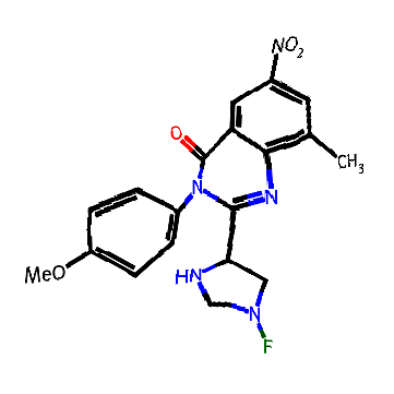 COc1ccc(-n2c(C3CN(F)CN3)nc3c(C)cc([N+](=O)[O-])cc3c2=O)cc1